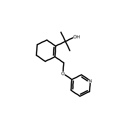 CC(C)(O)C1=C(COc2cccnc2)CCCC1